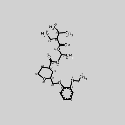 CCOc1ccccc1OCC1CC(C(=O)OC(C)OC(=O)[C@@H](CN)C(C)C)CCO1